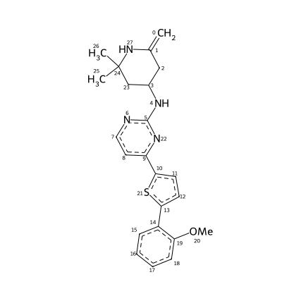 C=C1CC(Nc2nccc(-c3ccc(-c4ccccc4OC)s3)n2)CC(C)(C)N1